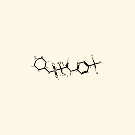 CC(C)(C(=O)Nc1ccc(C(F)(F)F)cn1)S(=O)(=O)CC1CCOCC1